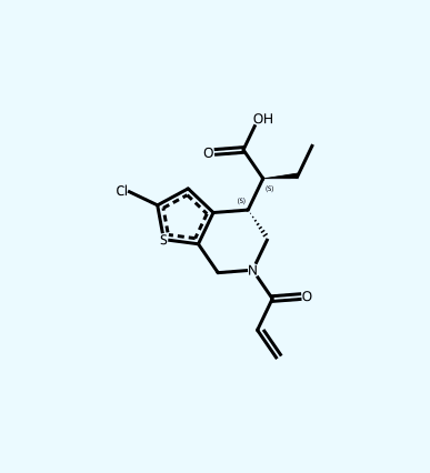 C=CC(=O)N1Cc2sc(Cl)cc2[C@H]([C@H](CC)C(=O)O)C1